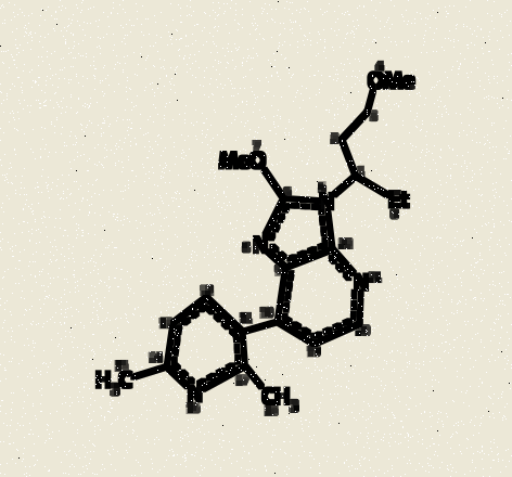 CCC(CCOC)n1c(OC)nc2c(-c3ccc(C)nc3C)ccnc21